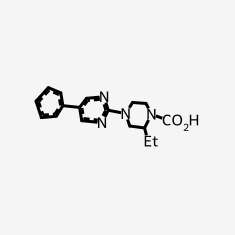 CCC1CN(c2ncc(-c3ccccc3)cn2)CCN1C(=O)O